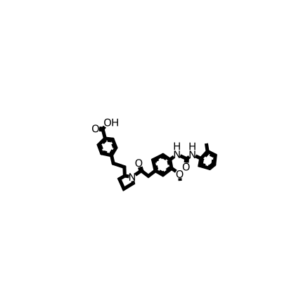 COc1cc(CC(=O)N2CCCC2CCc2ccc(C(=O)O)cc2)ccc1NC(=O)Nc1ccccc1C